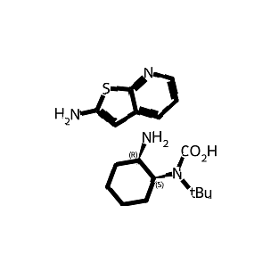 CC(C)(C)N(C(=O)O)[C@H]1CCCC[C@H]1N.Nc1cc2cccnc2s1